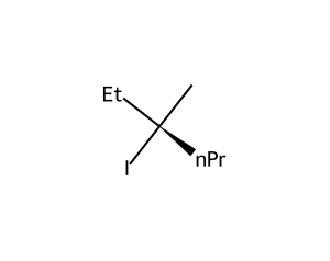 CCC[C@@](C)(I)CC